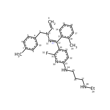 C=CN(Cc1ccc(C)cc1)/N=C(\c1ccccc1C)c1ccc(NCCCNCC)nc1F